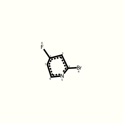 Fc1[c]c(Br)ncc1